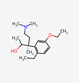 CCOc1ccc(CC)c([C@](C)(CCN(C)C)C(C)O)c1